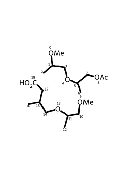 COC(C)COC(C)COC(C)=O.COCC(C)OCC(C)CC(=O)O